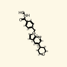 O=C(NO)c1ccc(Cn2ccc3cc(C4CCOCC4)cnc32)cc1